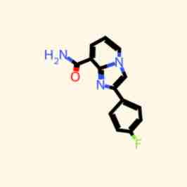 NC(=O)c1cccn2cc(-c3ccc(F)cc3)nc12